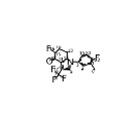 Cc1cc(-n2cc(C(F)(F)F)c3c2CCC(F)C3=O)ccc1F